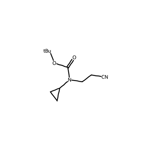 CC(C)(C)OC(=O)N(CCC#N)C1CC1